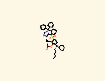 CCCCC[C@@H](c1ccc(S(=O)(=O)C(=O)c2cncn2C(c2ccccc2)(c2ccccc2)c2ccccc2)c(C2CC2)c1OC(C)=O)C1CCCCC1